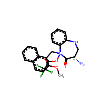 COc1ccc2ccccc2c1C[N+]1(OC(=O)C(F)(F)F)C(=O)[C@@H](N)CNc2ccccc21